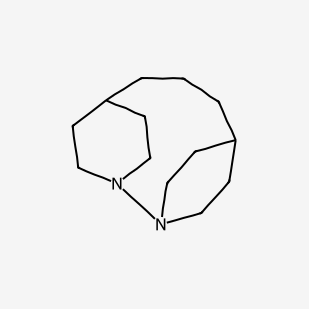 C1CC2CCN(CC2)N2CCC(C1)CC2